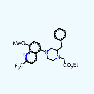 CCOC(=O)CN1CCN(c2ccc(OC)c3nc(C(F)(F)F)ccc23)CC1Cc1ccccc1